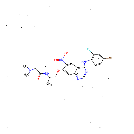 CC(COc1cc2ncnc(Nc3ccc(Br)cc3F)c2cc1[N+](=O)[O-])NC(=O)CN(C)C